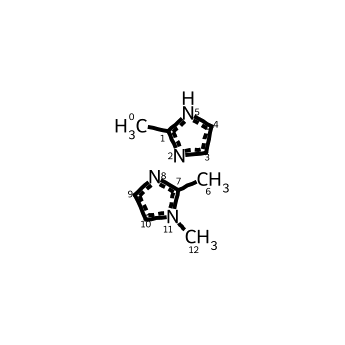 Cc1ncc[nH]1.Cc1nccn1C